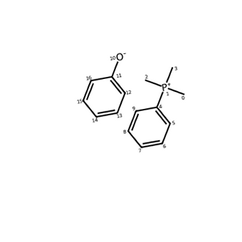 C[P+](C)(C)c1ccccc1.[O-]c1ccccc1